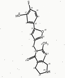 Cc1nc2c(c(=O)n1Cc1cc(-c3ccc(F)c(O)c3)on1)CCNC2